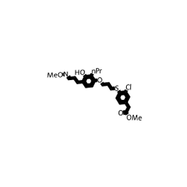 CCCc1c(OCCCSc2ccc(CC(=O)OC)cc2Cl)ccc(CCC=NOC)c1O